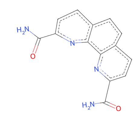 NC(=O)c1ccc2ccc3ccc(C(N)=O)nc3c2n1